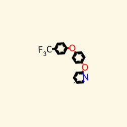 FC(F)(F)c1ccc(Oc2ccc(Oc3cc[c]cn3)cc2)cc1